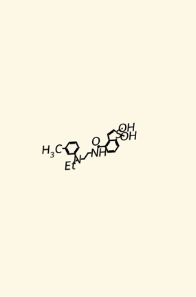 CCN(CCNC(=O)c1cccc2c1C=CS2(O)O)c1cccc(C)c1